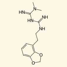 CN(C)C(=N)NC(=N)NCCc1cccc2c1OCO2